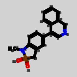 CN1c2ccc(-c3cncc4ccccc34)cc2CS1(=O)=O